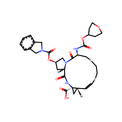 O=C(N[C@H]1CCCCCC=C[C@@H]2C[C@@]2(C(=O)O)NC(=O)[C@@H]2C[C@@H](OC(=O)N3Cc4ccccc4C3)CN2C1=O)OC1CCOCC1